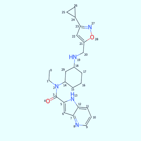 CCN(C(=O)c1cc2ncccc2[nH]1)C1CCCC(NCc2cc(C3CC3)no2)C1